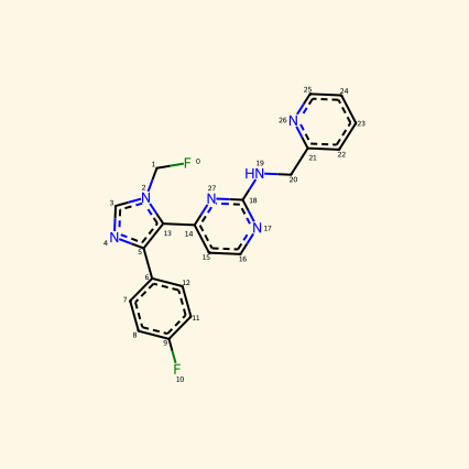 FCn1cnc(-c2ccc(F)cc2)c1-c1ccnc(NCc2ccccn2)n1